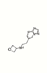 c1nc2ncc(CCNC3COC3)cn2n1